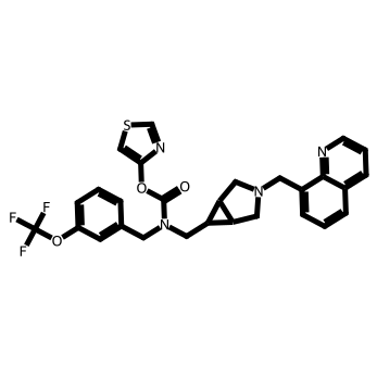 O=C(Oc1cscn1)N(Cc1cccc(OC(F)(F)F)c1)CC1C2CN(Cc3cccc4cccnc34)CC21